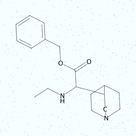 CCNC(C(=O)OCc1ccccc1)C1CN2CCC1CC2